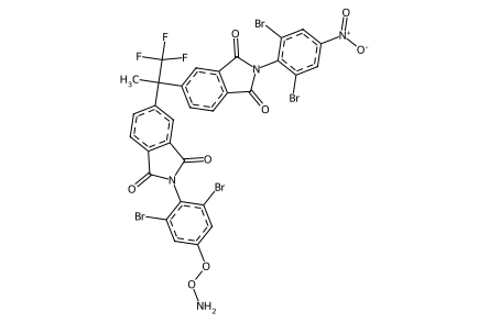 CC(c1ccc2c(c1)C(=O)N(c1c(Br)cc(OON)cc1Br)C2=O)(c1ccc2c(c1)C(=O)N(c1c(Br)cc([N+](=O)[O-])cc1Br)C2=O)C(F)(F)F